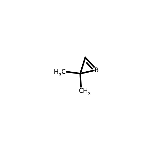 CC1(C)B=C1